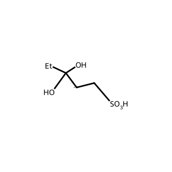 CCC(O)(O)[CH]CS(=O)(=O)O